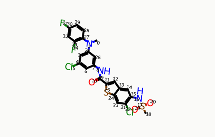 CN(c1cc(Cl)cc(NC(=O)c2cc3cc(NS(C)(=O)=O)c(Cl)cc3s2)c1)c1ccc(F)cc1F